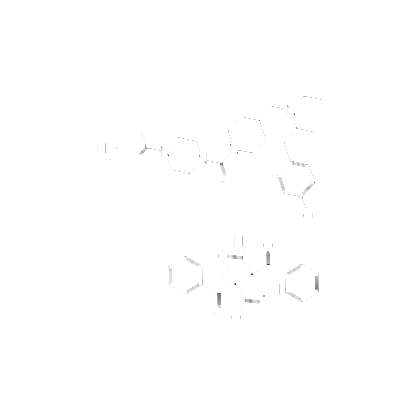 CCN(CC1CCN(C(=O)N2CCN(C(C)=O)CC2)CC1)C(C)Cc1ccc(OC)cc1.O.O=C(O)C(O)(C(=O)c1ccccc1)C(O)(C(=O)O)C(=O)c1ccccc1